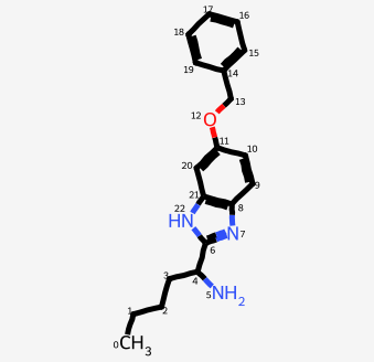 CCCCC(N)c1nc2ccc(OCc3ccccc3)cc2[nH]1